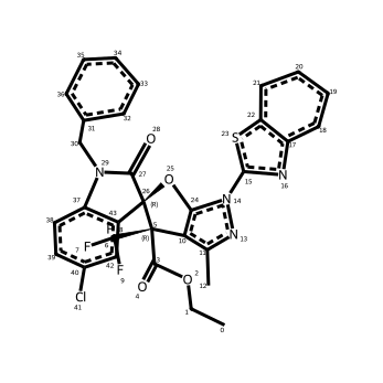 CCOC(=O)[C@@]1(C(F)(F)F)c2c(C)nn(-c3nc4ccccc4s3)c2O[C@@]12C(=O)N(Cc1ccccc1)c1ccc(Cl)cc12